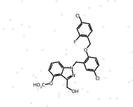 O=C(O)Oc1cccc2c1c(CO)nn2Cc1cc(Cl)ccc1OCc1ccc(Cl)cc1F